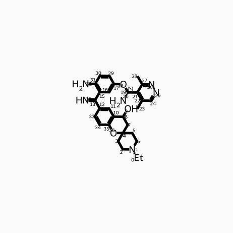 CCN1CCC2(CC1)CC(O)c1cc(C(=N)c3cc(O[C@H](N)c4c(C)cnnc4C)ccc3N)ccc1O2